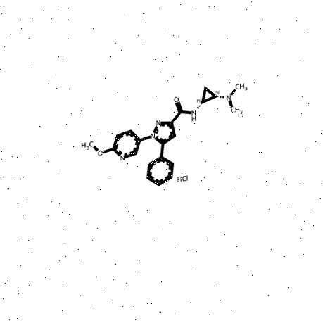 COc1ccc(-n2nc(C(=O)N[C@@H]3C[C@@H]3N(C)C)cc2-c2ccccc2)cn1.Cl